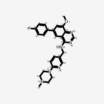 COc1cc(-c2ccc(F)cc2)cc2c(NCc3ccc(N4CCN(C)CC4)nc3)ncnc12